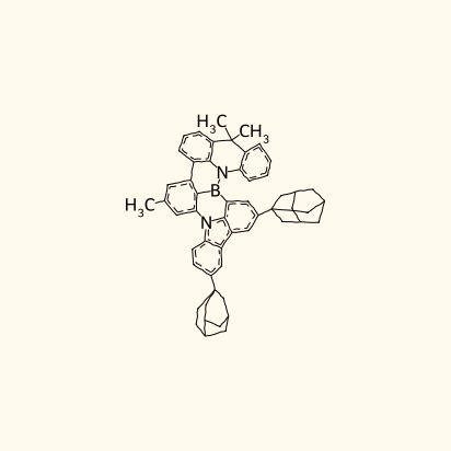 Cc1cc2c3c(c1)-n1c4ccc(C56CCC7CC(CC7C5)C6)cc4c4cc(C56CC7CC(CC(C7)C5)C6)cc(c41)B3N1c3ccccc3C(C)(C)c3cccc-2c31